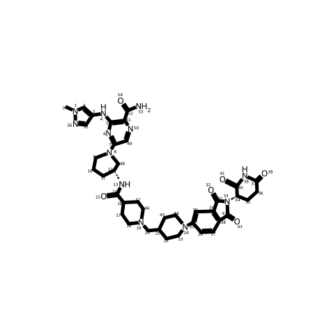 Cn1cc(Nc2nc(N3CCC[C@@H](NC(=O)C4CCN(CC5CCN(c6ccc7c(c6)C(=O)N([C@H]6CCC(=O)NC6=O)C7=O)CC5)CC4)C3)cnc2C(N)=O)cn1